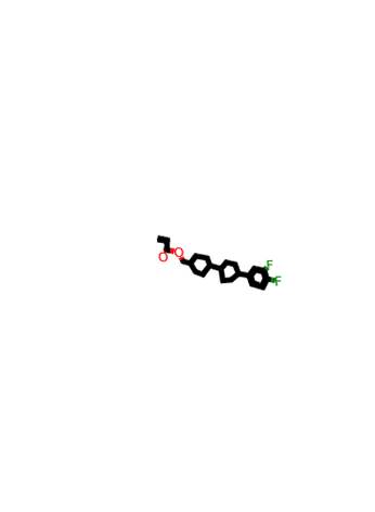 C=CC(=O)OCC1CCC(C2CCC(c3ccc(F)c(F)c3)CC2)CC1